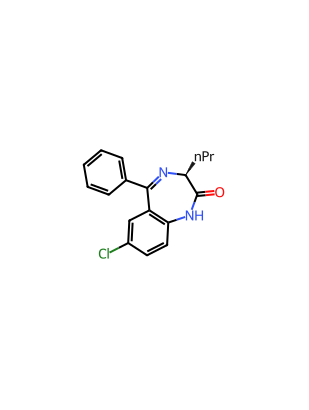 CCC[C@@H]1N=C(c2ccccc2)c2cc(Cl)ccc2NC1=O